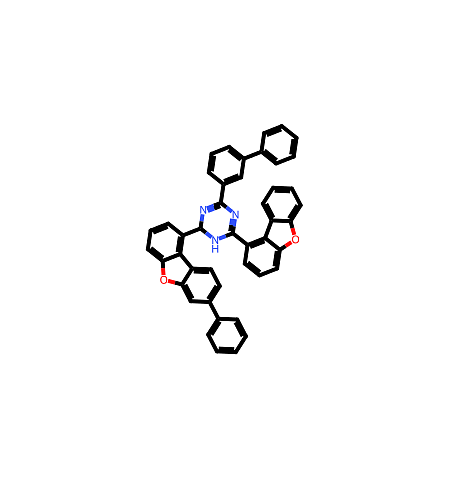 c1ccc(-c2cccc(C3=NC(c4cccc5oc6cc(-c7ccccc7)ccc6c45)NC(c4cccc5oc6ccccc6c45)=N3)c2)cc1